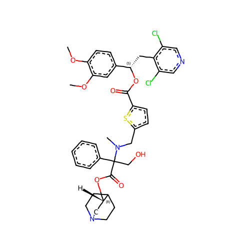 COc1ccc([C@H](Cc2c(Cl)cncc2Cl)OC(=O)c2ccc(CN(C)C(CO)(C(=O)O[C@H]3CN4CCC3CC4)c3ccccc3)s2)cc1OC